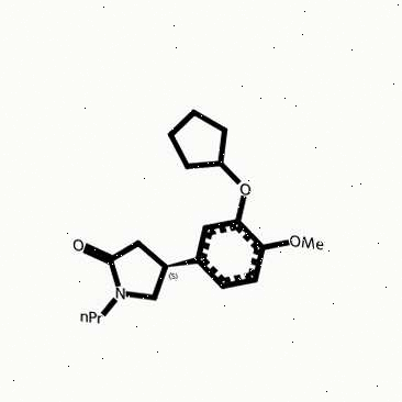 CCCN1C[C@H](c2ccc(OC)c(OC3CCCC3)c2)CC1=O